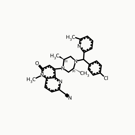 Cc1cccc(C(c2ccc(Cl)cc2)N2C[C@H](C)N(c3cc(=O)n(C)c4ccc(C#N)nc34)C[C@H]2C)n1